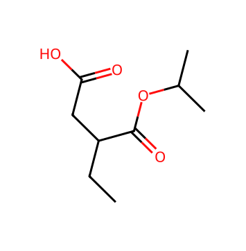 CCC(CC(=O)O)C(=O)OC(C)C